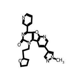 Cn1cc(-c2cnc3oc4c(-c5cccnc5)nc(=O)n(CCC5CCCO5)c4c3c2)cn1